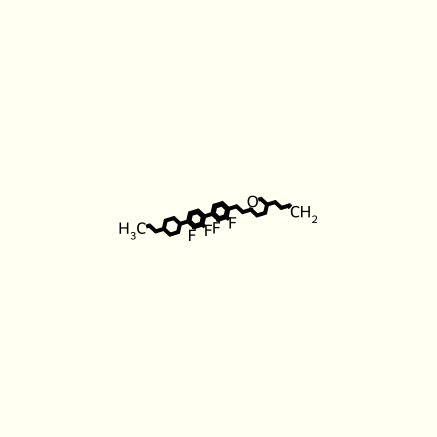 C=CCCC1CCC(CCc2ccc(-c3ccc(C4CCC(CCC)CC4)c(F)c3F)c(F)c2F)OC1